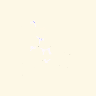 O=c1nccccc1Nc1nc2ccc(F)cc2c2nc(-c3ccccc3F)nn12